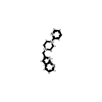 c1ccc(N2CCN(Cc3cc4cccnc4s3)CC2)nc1